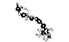 COc1cc(OC2CCC(NC(=O)c3ccc(N4CCC5(CCC(c6ccc(C7=N[C@@H](C)c8nnc(C)n8-c8sc(C)c(C)c87)cc6)CC5)C4)nn3)CC2)ccc1C#N